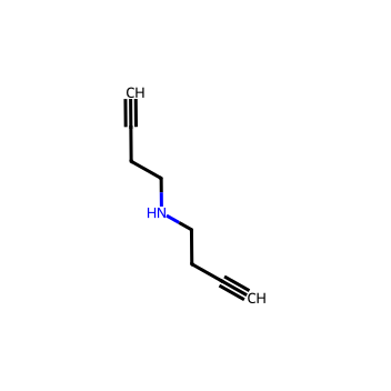 C#CCCNCCC#C